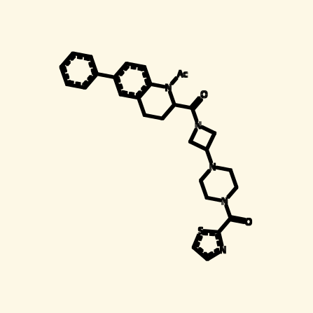 CC(=O)N1c2ccc(-c3ccccc3)cc2CCC1C(=O)N1CC(N2CCN(C(=O)c3nccs3)CC2)C1